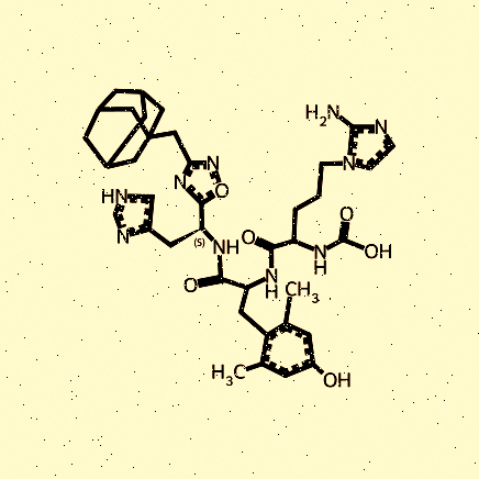 Cc1cc(O)cc(C)c1CC(NC(=O)C(CCCn1ccnc1N)NC(=O)O)C(=O)N[C@@H](Cc1c[nH]cn1)c1nc(CC23CC4CC(CC(C4)C2)C3)no1